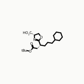 CC(C)(C)OC(=O)C[C@@H](CCCC1CCCCC1)C1=N[C@H](C(=O)O)CO1